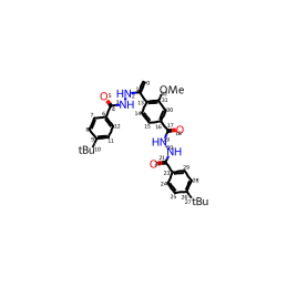 C=C(NNC(=O)c1ccc(C(C)(C)C)cc1)c1ccc(C(=O)NNC(=O)c2ccc(C(C)(C)C)cc2)cc1OC